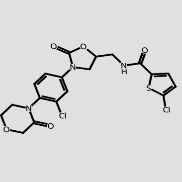 O=C(NCC1CN(c2ccc(N3CCOCC3=O)c(Cl)c2)C(=O)O1)c1ccc(Cl)s1